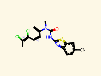 C=C(/C=C\C(Cl)=C(/C)Cl)N(C)C(=O)Nc1nc2ccc(C#N)cc2s1